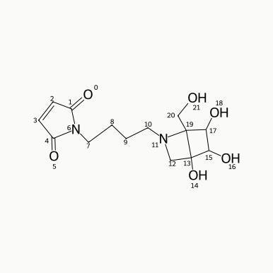 O=C1C=CC(=O)N1CCCCN1CC2(O)C(O)C(O)C12CO